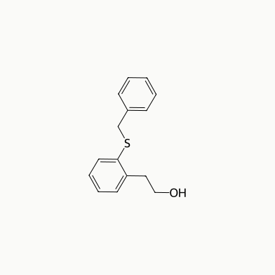 OCCc1ccccc1SCc1ccccc1